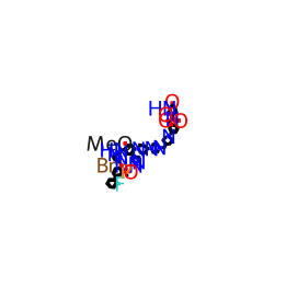 COc1cc(N2CCC(N3CCN(CC4CCN(c5ccc6c(c5)C(=O)N(C5CCC(=O)NC5=O)C6=O)CC4)CC3)CC2)c(-c2cnn(C)c2)cc1Nc1ncc(Br)c(Nc2ccc(-c3ccccc3F)cc2P(C)(C)=O)n1